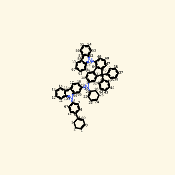 C1=CCCC(c2ccc(-n3c4ccccc4c4ccc(N(C5=CC=CCC5)c5ccc6c(c5)C(c5ccccc5)(c5ccccc5)c5cccc(-n7c8ccccc8c8ccccc87)c5-6)cc43)cc2)=C1